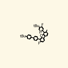 Cc1ccc2c(oc3c(-c4ccc(-c5ccc(C(C)(C)C)cc5)cc4)c(F)ccc32)c1-c1cc(F)c(C(C)(C)C)c[n+]1C